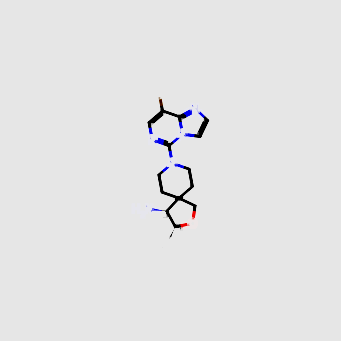 N[C@@H]1[C@H](C(F)(F)F)OCC12CCN(c1ncc(Br)c3nccn13)CC2